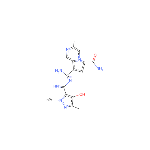 CCCn1nc(C)c(O)c1C(=N)/N=C(\N)c1cc(C(N)=O)n2cc(C)ncc12